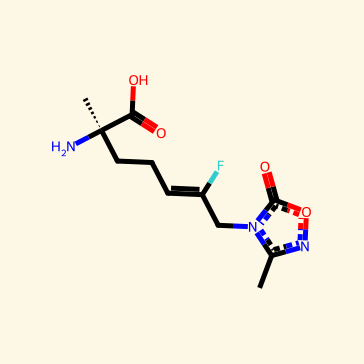 Cc1noc(=O)n1CC(F)=CCC[C@@](C)(N)C(=O)O